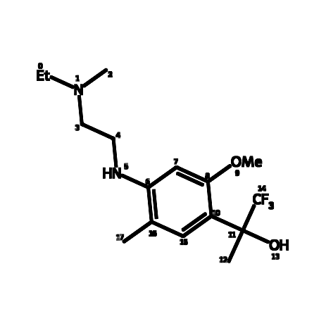 CCN(C)CCNc1cc(OC)c(C(C)(O)C(F)(F)F)cc1C